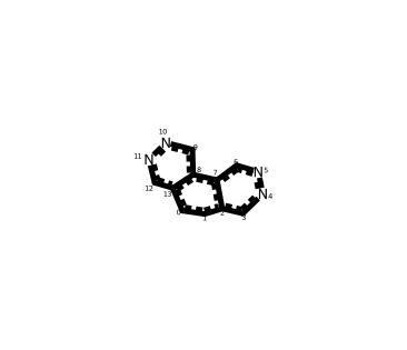 c1cc2cnncc2c2cnncc12